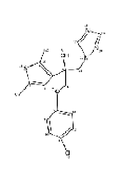 Cc1cc(C(O)(COc2ccc(Cl)cc2)Cn2cncn2)c(C)s1